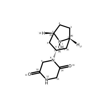 CN1[C@@H]2CC[C@H]1C[C@@H](N1CC(=O)NCC1=O)C2